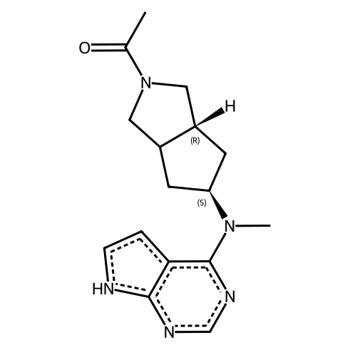 CC(=O)N1CC2C[C@H](N(C)c3ncnc4[nH]ccc34)C[C@H]2C1